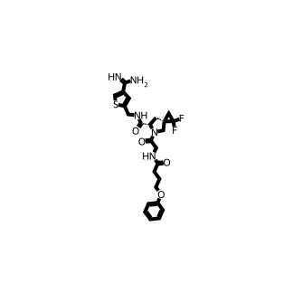 N=C(N)c1csc(CNC(=O)[C@@H]2C[C@]3(CN2C(=O)CNC(=O)CCCOc2ccccc2)CC3(F)F)c1